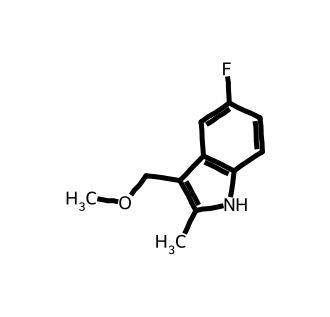 COCc1c(C)[nH]c2ccc(F)cc12